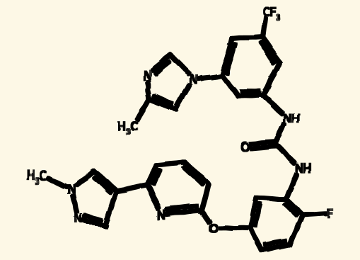 Cc1cn(-c2cc(NC(=O)Nc3cc(Oc4cccc(-c5cnn(C)c5)n4)ccc3F)cc(C(F)(F)F)c2)cn1